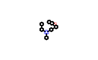 c1ccc(-c2cccc(-c3nc(-c4ccccc4)nc(-c4ccc(-c5cccc6oc7cc8ccccc8cc7c56)cc4)n3)c2)cc1